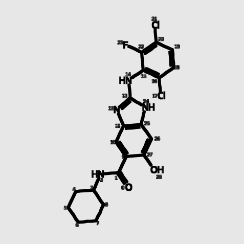 O=C(NC1CCCCC1)c1cc2nc(Nc3c(Cl)ccc(Cl)c3F)[nH]c2cc1O